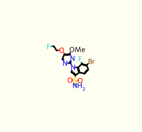 COc1nc(-n2cc(S(N)(=O)=O)c3ccc(Br)c(F)c32)ncc1OCCF